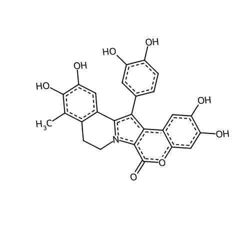 Cc1c(O)c(O)cc2c1CCn1c-2c(-c2ccc(O)c(O)c2)c2c3cc(O)c(O)cc3oc(=O)c21